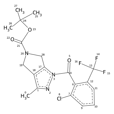 Cc1nn(C(=O)c2c(Cl)cccc2C(F)(F)F)c2c1CN(C(=O)OC(C)(C)C)C2